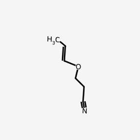 CC=COCCC#N